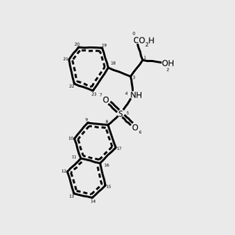 O=C(O)C(O)C(NS(=O)(=O)c1ccc2ccccc2c1)c1ccccc1